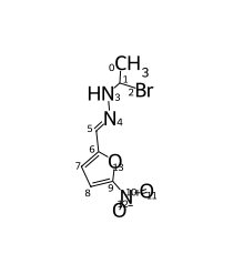 CC(Br)NN=Cc1ccc([N+](=O)[O-])o1